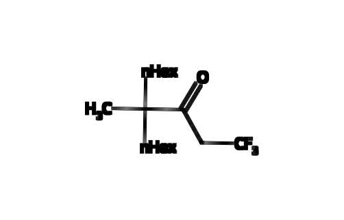 CCCCCCC(C)(CCCCCC)C(=O)CC(F)(F)F